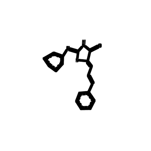 O=C1NC(=Nc2ccccc2)SC1=CC=Cc1ccccc1